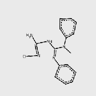 CN(C(=Nc1ccccc1)NC(N)=NCl)c1ccccc1